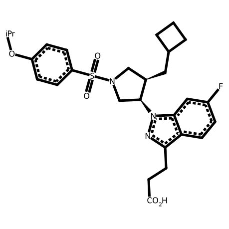 CC(C)Oc1ccc(S(=O)(=O)N2C[C@@H](CC3CCC3)[C@@H](n3nc(CCC(=O)O)c4ccc(F)cc43)C2)cc1